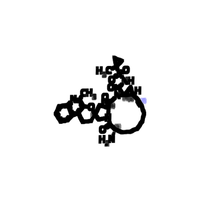 Cc1nc2ccccc2c2c1O[C@]1(CC2)C[C@H]2C(=O)N[C@]3(C(=O)NS(=O)(=O)C4(C)CC4)C[C@H]3/C=C\CCCCC[C@H](N)C(=O)N2C1